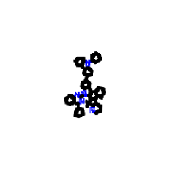 CC1(C)c2ncccc2-c2c1c1c(c3ccccc23)c2cc(-c3ccc4c(c3)c3ccccc3n4-c3ccccc3)ccc2n1-c1nc(-c2ccccc2)c2ccccc2n1